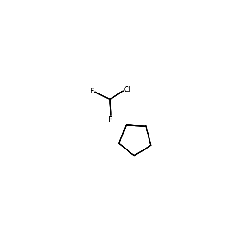 C1CCCC1.FC(F)Cl